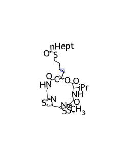 CCCCCCCC(=O)SCC/C=C/[C@@H]1CC(=O)NCc2nc(cs2)C2=N[C@@](C)(SS2)C(=O)NC(C(C)C)C(=O)O1